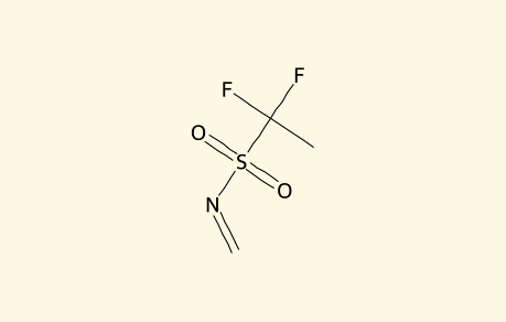 C=NS(=O)(=O)C(C)(F)F